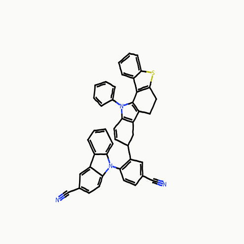 N#Cc1ccc(-n2c3ccccc3c3cc(C#N)ccc32)c(C2C=Cc3c(c4c(n3-c3ccccc3)-c3c(sc5ccccc35)CC4)C2)c1